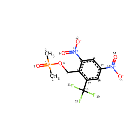 CP(C)(=O)OCc1c([N+](=O)[O-])cc([N+](=O)[O-])cc1C(F)(F)F